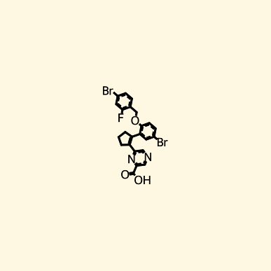 O=C(O)c1cncc(C2=C(c3cc(Br)ccc3OCc3ccc(Br)cc3F)CCC2)n1